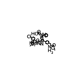 CCOC(=O)[C@@H](N)Cc1ccc(-c2csc3c(O[C@H](c4ccc(Cl)cc4-n4ccc(C)n4)C(F)(F)F)ncnc23)cc1.O=C(O)CNC(=O)c1ccccc1